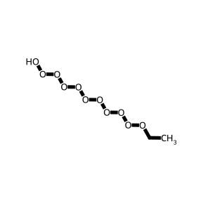 CCOOOOOOOOOOO